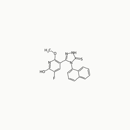 COc1nc(O)c(F)cc1-c1n[nH]c(=S)n1-c1cccc2ccccc12